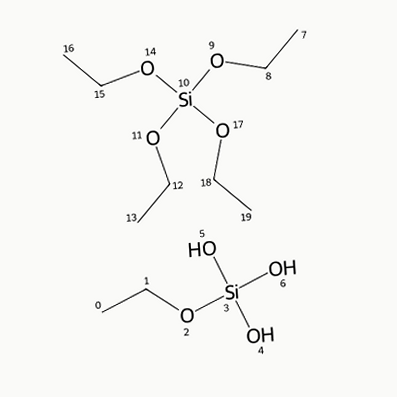 CCO[Si](O)(O)O.CCO[Si](OCC)(OCC)OCC